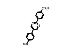 CCCCc1ccc(-c2cnc(-c3ccc(C(=O)O)cc3)nc2)cc1